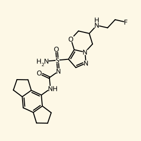 NS(=O)(=NC(=O)Nc1c2c(cc3c1CCC3)CCC2)c1cnn2c1OCC(NCCF)C2